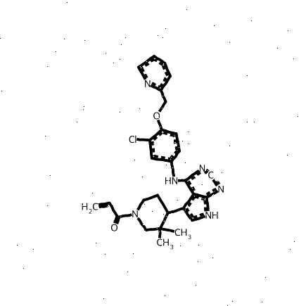 C=CC(=O)N1CCC(c2c[nH]c3ncnc(Nc4ccc(OCc5ccccn5)c(Cl)c4)c23)C(C)(C)C1